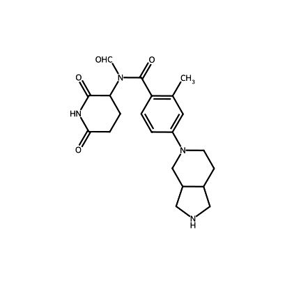 Cc1cc(N2CCC3CNCC3C2)ccc1C(=O)N(C=O)C1CCC(=O)NC1=O